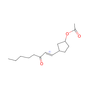 CCCCCC(=O)/C=C/C1CCC(OC(C)=O)C1